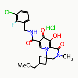 COC[C@H]1C[C@]2(CN(C)C(=O)c3c(O)c(=O)c(C(=O)NCc4cccc(Cl)c4F)cn32)C1.Cl